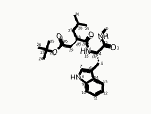 CNC(=O)[C@H](Cc1c[nH]c2ccccc12)NC(=O)[C@@H](CC(=O)OC(C)(C)C)CC(C)C